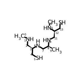 CNC[C@H](CS)NC[C@H](C)NC[C@H](CS)NC